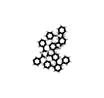 c1ccc(-c2nc(-c3ccccc3)nc(-c3cc(-c4c(-c5ccccc5)cccc4-c4ccccc4)ccc3-c3cccc4c3oc3ccc5c6ccccc6n(-c6ccccc6)c5c34)n2)cc1